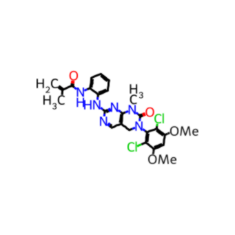 C=C(C)C(=O)Nc1ccccc1Nc1ncc2c(n1)N(C)C(=O)N(c1c(Cl)c(OC)cc(OC)c1Cl)C2